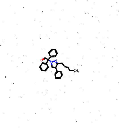 CCCCCC1=NN(C(C=O)(c2ccccc2)c2ccccc2)CC1c1ccccc1